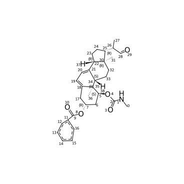 CNC(=O)O[C@H]1C[C@H](OC(=O)c2ccccc2)CC2=CC=C3[C@@H]4CC[C@H](C(C)C=O)[C@@]4(C)CC[C@@H]3[C@]21C